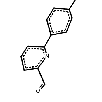 O=[C]c1cccc(-c2ccc(F)cc2)n1